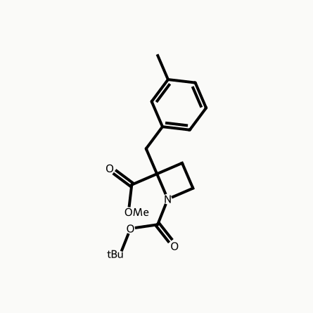 COC(=O)C1(Cc2cccc(C)c2)CCN1C(=O)OC(C)(C)C